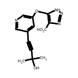 CC(C)(O)C#Cc1cncc(Oc2[nH]nnc2C(=O)O)c1